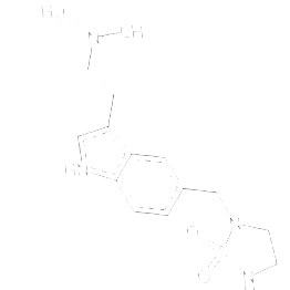 CN(C)CCc1c[nH]c2ccc(CN3CCNS3(=O)=O)cc12